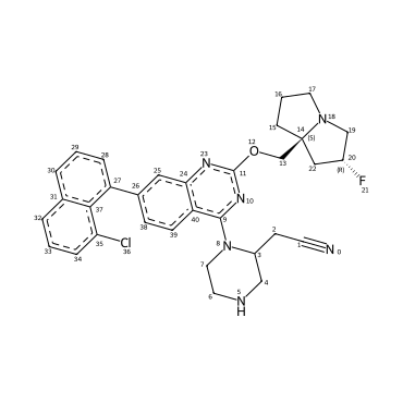 N#CCC1CNCCN1c1nc(OC[C@@]23CCCN2C[C@H](F)C3)nc2cc(-c3cccc4cccc(Cl)c34)ccc12